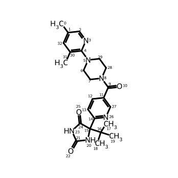 Cc1cnc(N2CCN(C(=O)c3ccc(C4(C(C)(C)C)NC(=O)NC4=O)nc3)CC2)c(C)c1